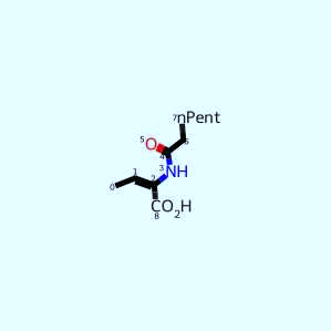 CC=C(NC(=O)CCCCCC)C(=O)O